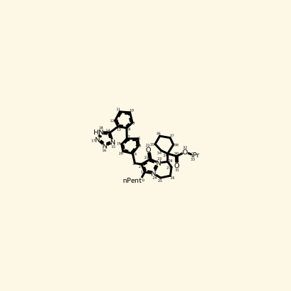 CCCCCc1c(Cc2ccc(-c3ccccc3-c3nnn[nH]3)cc2)c(=O)n2n1CCCC2C1(C(=O)OC(C)C)CCCCC1